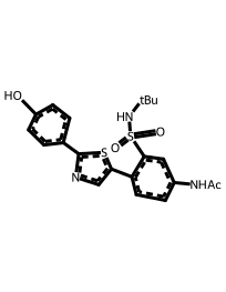 CC(=O)Nc1ccc(-c2cnc(-c3ccc(O)cc3)s2)c(S(=O)(=O)NC(C)(C)C)c1